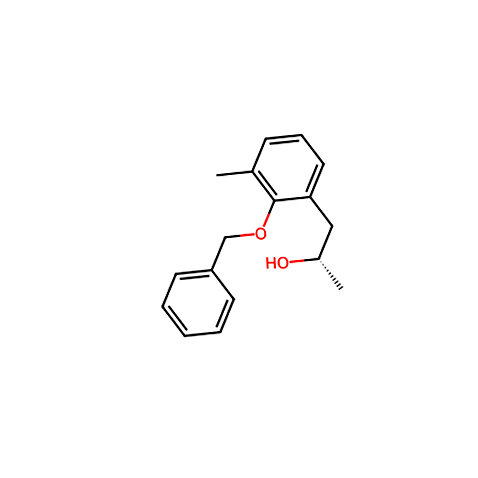 Cc1cccc(C[C@H](C)O)c1OCc1ccccc1